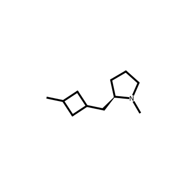 CC1CC(C[C@H]2CCCN2C)C1